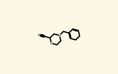 N#CC1CN(CC2=CCCC=C2)CCO1